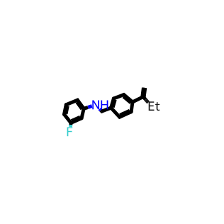 C=C(CC)c1ccc(CNc2cccc(F)c2)cc1